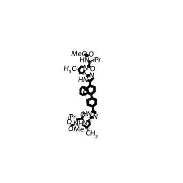 COC(=O)N[C@H](C(=O)N1C[C@@H](C)C[C@H]1c1ncc(-c2ccc(-c3ccc(-c4cnc([C@@H]5C[C@H](C)CN5C(=O)[C@H](NC(=O)OC)C(C)C)[nH]4)cc3)c3c2C2CCC3CC2)[nH]1)C(C)C